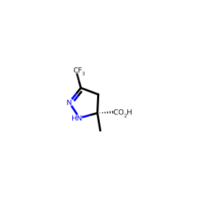 C[C@]1(C(=O)O)CC(C(F)(F)F)=NN1